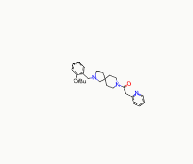 CC(C)COc1ccccc1CN1CCC2(CCN(C(=O)Cc3ccccn3)CC2)C1